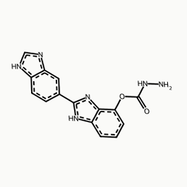 NNC(=O)Oc1cccc2[nH]c(-c3ccc4[nH]cnc4c3)nc12